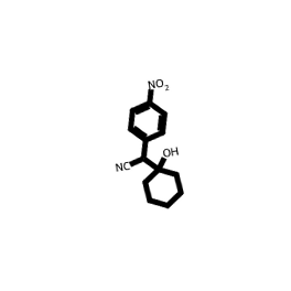 N#CC(c1ccc([N+](=O)[O-])cc1)C1(O)CCCCC1